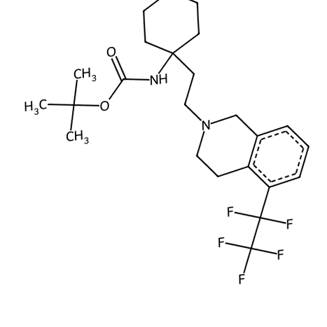 CC(C)(C)OC(=O)NC1(CCN2CCc3c(cccc3C(F)(F)C(F)(F)F)C2)CCCCC1